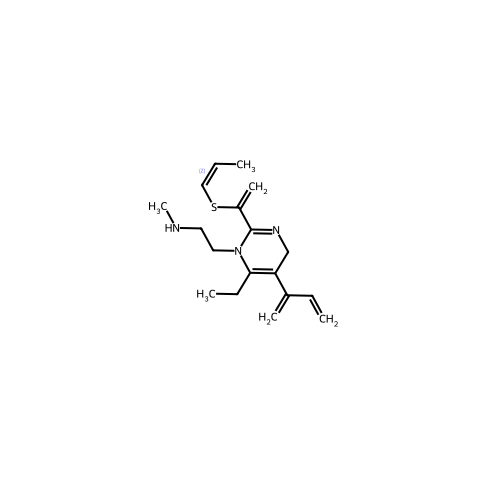 C=CC(=C)C1=C(CC)N(CCNC)C(C(=C)S/C=C\C)=NC1